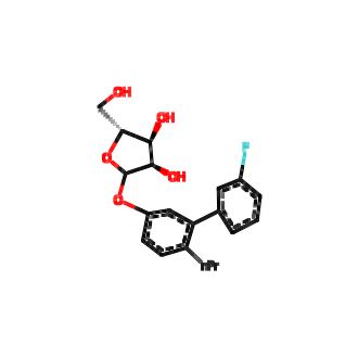 CCCc1ccc(OC2O[C@H](CO)[C@@H](O)[C@H]2O)cc1-c1cccc(F)c1